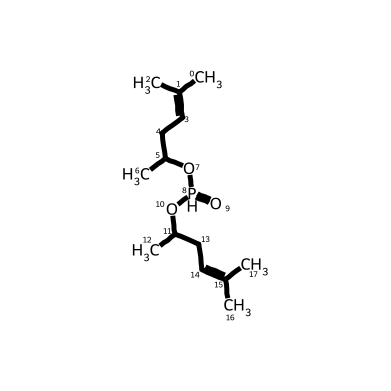 CC(C)=CCC(C)O[PH](=O)OC(C)CC=C(C)C